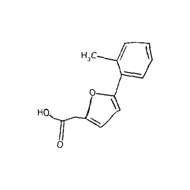 Cc1ccccc1-c1ccc(C(=O)O)o1